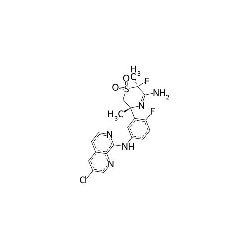 C[C@]1(F)C(N)=N[C@](C)(c2cc(Nc3nccc4cc(Cl)cnc34)ccc2F)CS1(=O)=O